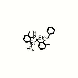 CCC(CC)(Pc1c(C)cccc1CP(C)C)c1cccc(C)c1OCc1ccccc1